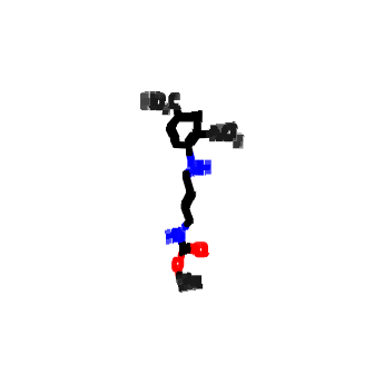 CC(C)(C)OC(=O)NC/C=C/CNc1ccc(C(=O)O)cc1[N+](=O)[O-]